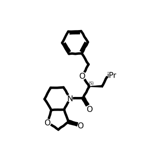 CC(C)C[C@H](OCc1ccccc1)C(=O)N1CCCC2OCC(=O)C21